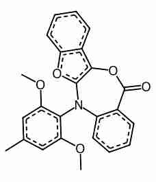 COc1cc(C)cc(OC)c1N1c2ccccc2C(=O)Oc2c1oc1ccccc21